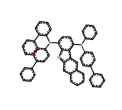 c1ccc(-c2ccc(N(c3ccccc3-c3ccccc3)c3ccc(N(c4ccccc4)c4ccc(-c5ccccc5)cc4)c4c3oc3cc5ccccc5cc34)cc2)cc1